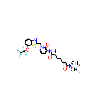 CN(C)C(=O)/C=C/CCCC(=O)Nc1cccn(CC2=NC3C=CC=C(OC(F)(F)C(F)F)C3S2)c1=O